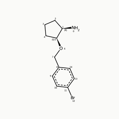 N[C@@H]1CCC[C@@H]1OCc1ccc(Br)cc1